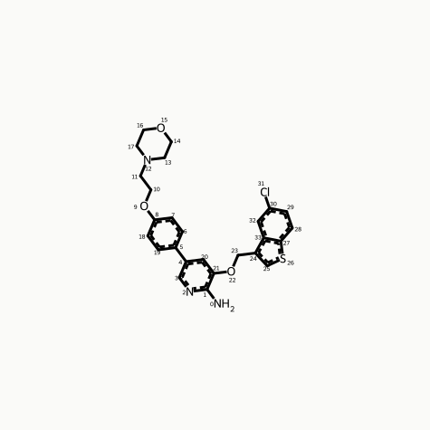 Nc1ncc(-c2ccc(OCCN3CCOCC3)cc2)cc1OCc1csc2ccc(Cl)cc12